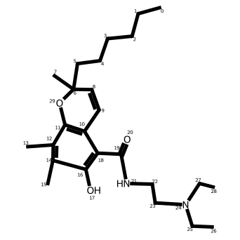 CCCCCCC1(C)C=Cc2c(c(C)c(C)c(O)c2C(=O)NCCN(CC)CC)O1